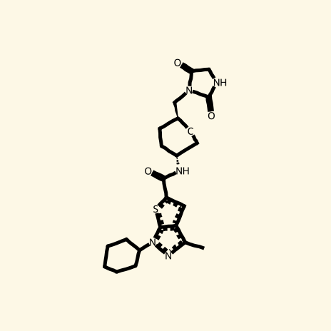 Cc1nn(C2CCCCC2)c2sc(C(=O)N[C@H]3CC[C@H](CN4C(=O)CNC4=O)CC3)cc12